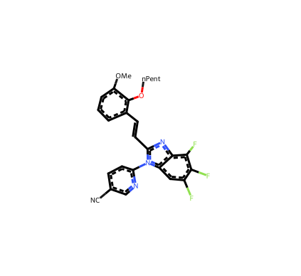 CCCCCOc1c(C=Cc2nc3c(F)c(F)c(F)cc3n2-c2ccc(C#N)cn2)cccc1OC